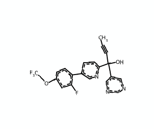 CC#CC(O)(c1cncnc1)c1ccc(-c2ccc(OC(F)(F)F)cc2F)cn1